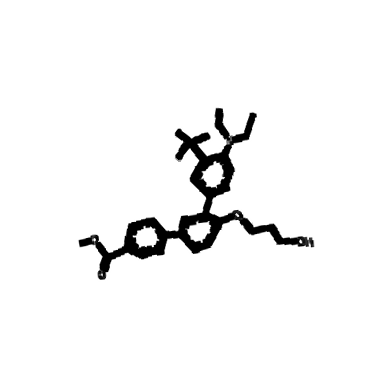 CCN(CC)c1ccc(-c2cc(-c3ccc(C(=O)OC)cc3)ccc2OCCCO)cc1C(C)(C)C